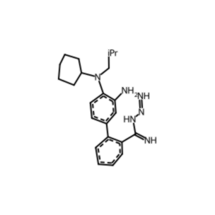 CC(C)CN(c1ccc(-c2ccccc2C(=N)NN=N)cc1N)C1CCCCC1